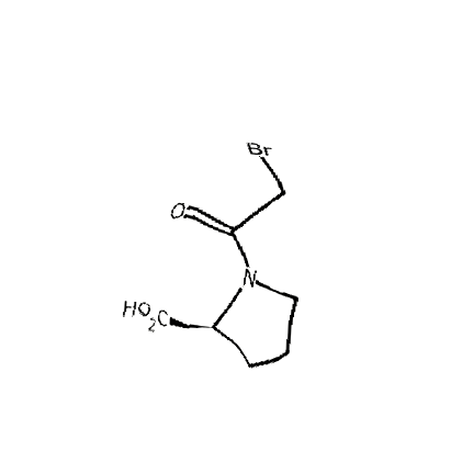 O=C(O)[C@@H]1CCCN1C(=O)CBr